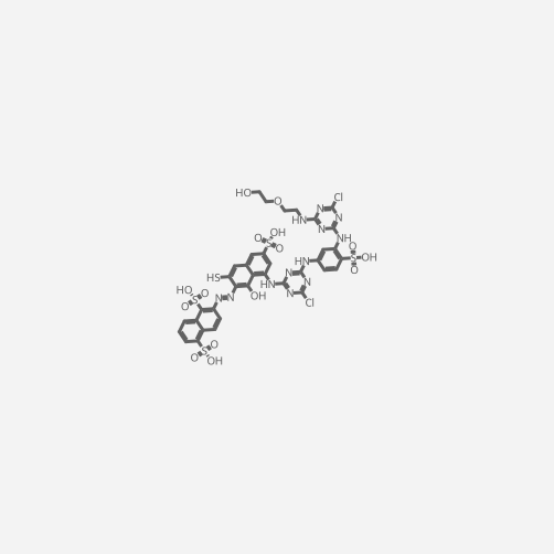 O=S(=O)(O)c1cc(Nc2nc(Cl)nc(Nc3ccc(S(=O)(=O)O)c(Nc4nc(Cl)nc(NCCOCCO)n4)c3)n2)c2c(O)c(N=Nc3ccc4c(S(=O)(=O)O)cccc4c3S(=O)(=O)O)c(S)cc2c1